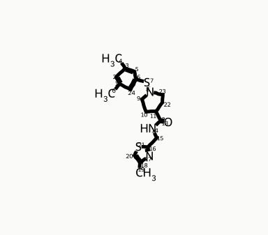 Cc1cc(C)cc(SN2CCC(C(=O)NCc3nc(C)cs3)CC2)c1